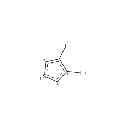 Ic1cscc1I